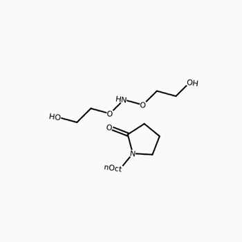 CCCCCCCCN1CCCC1=O.OCCONOCCO